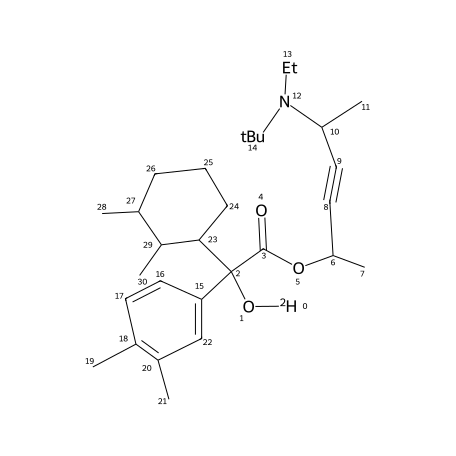 [2H]OC(C(=O)OC(C)C#CC(C)N(CC)C(C)(C)C)(c1ccc(C)c(C)c1)C1CCCC(C)C1C